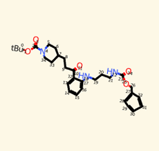 CC(C)(C)OC(=O)N1CCC(CCC(=O)c2ccccc2NCCCNC(=O)OCc2ccccc2)CC1